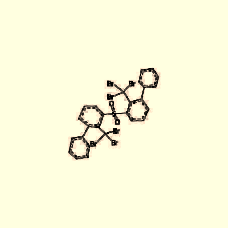 O=S(=O)(c1cccc(-c2ccccc2)c1C(Br)(Br)Br)c1cccc(-c2ccccc2)c1C(Br)(Br)Br